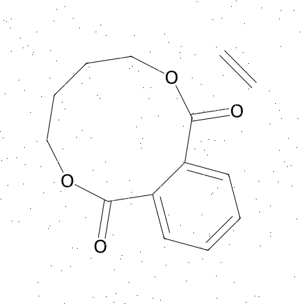 C=C.O=C1OCCCCOC(=O)c2ccccc21